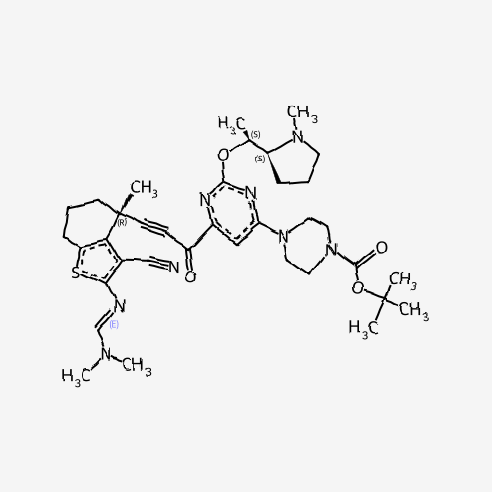 C[C@H](Oc1nc(C(=O)C#C[C@@]2(C)CCCc3sc(/N=C/N(C)C)c(C#N)c32)cc(N2CCN(C(=O)OC(C)(C)C)CC2)n1)[C@@H]1CCCN1C